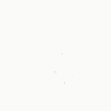 CC(c1ccc(C2CC2)cn1)N(C(=O)O)C(C)(C)C